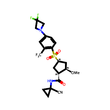 CO[C@@H]1C[C@H](S(=O)(=O)c2ccc(N3CC(F)(F)C3)cc2C(F)(F)F)C[C@H]1C(=O)NC1(C#N)CC1